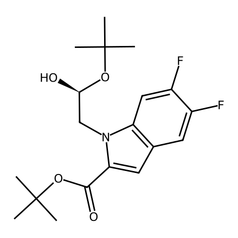 CC(C)(C)OC(=O)c1cc2cc(F)c(F)cc2n1C[C@@H](O)OC(C)(C)C